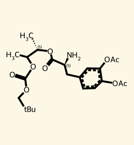 CC(=O)Oc1ccc(C[C@H](N)C(=O)O[C@@H](C)C(C)OC(=O)OCC(C)(C)C)cc1OC(C)=O